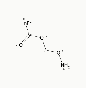 CCCC(=O)OCON